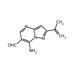 C=C(C)c1cc2ncc(C=O)c(N)n2n1